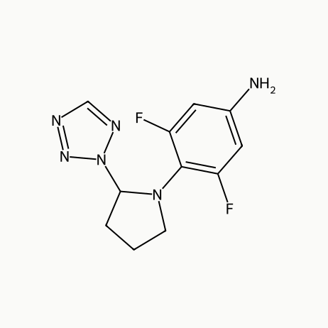 Nc1cc(F)c(N2CCCC2n2ncnn2)c(F)c1